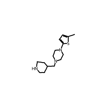 Cc1ccc(N2CCN(CC3CCNCC3)CC2)s1